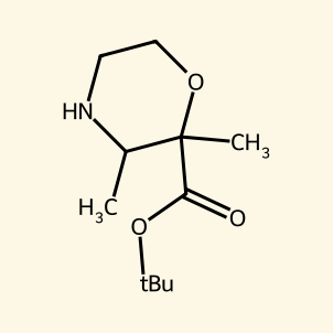 CC1NCCOC1(C)C(=O)OC(C)(C)C